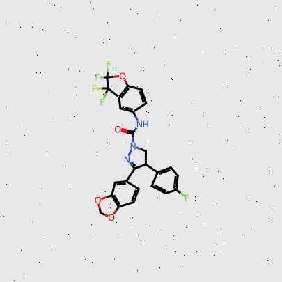 O=C(Nc1ccc2c(c1)C(F)(F)C(F)(F)O2)N1CC(c2ccc(F)cc2)C(c2ccc3c(c2)OCO3)=N1